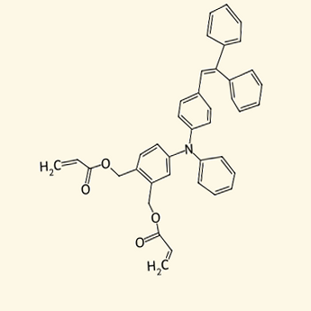 C=CC(=O)OCc1ccc(N(c2ccccc2)c2ccc(C=C(c3ccccc3)c3ccccc3)cc2)cc1COC(=O)C=C